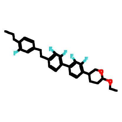 CCCc1ccc(CCc2ccc(-c3ccc(C4CCC(OCC)OC4)c(F)c3F)c(F)c2F)cc1F